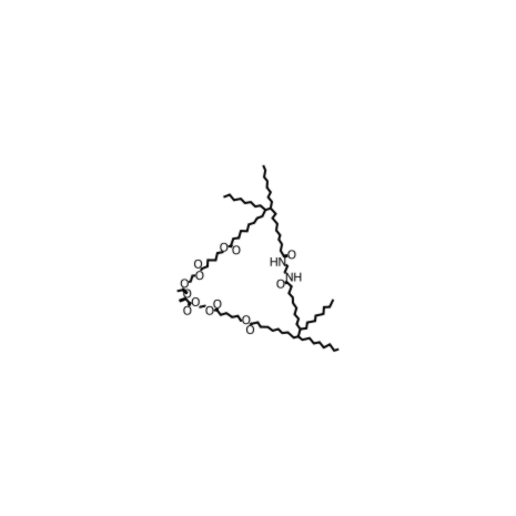 C=CC(=O)OCCOC(=O)CCCCCOC(=O)CCCCCCCCC(CCCCCCCC)C(CCCCCCCC)CCCCCCCCC(=O)NCCNC(=O)CCCCCCCCC(CCCCCCCC)C(CCCCCCCC)CCCCCCCCC(=O)OCCCCCC(=O)OCCOC(C)=O